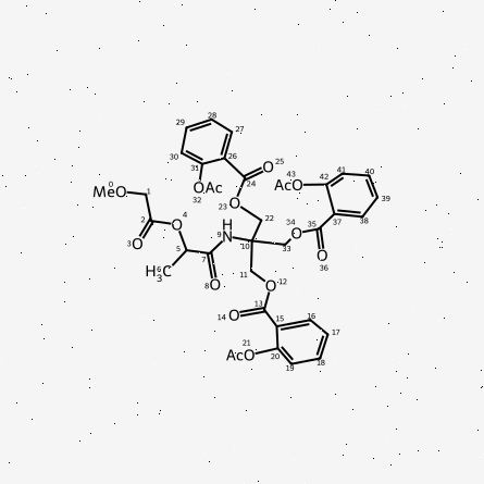 COCC(=O)OC(C)C(=O)NC(COC(=O)c1ccccc1OC(C)=O)(COC(=O)c1ccccc1OC(C)=O)COC(=O)c1ccccc1OC(C)=O